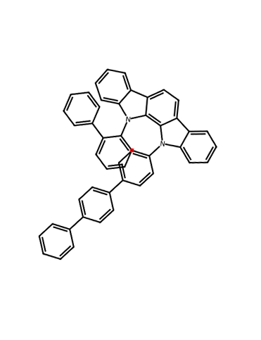 c1ccc(-c2ccc(-c3ccc(-n4c5ccccc5c5ccc6c7ccccc7n(-c7ccccc7-c7ccccc7)c6c54)cc3)cc2)cc1